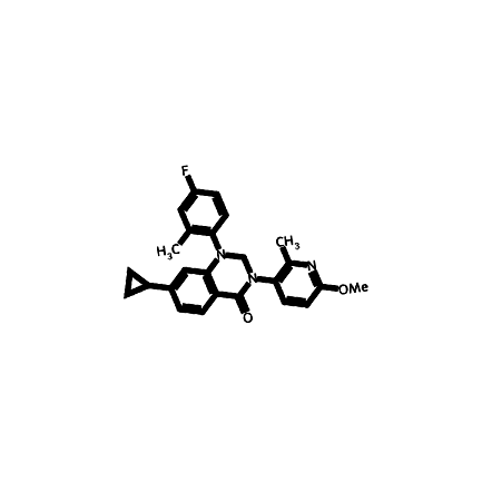 COc1ccc(N2CN(c3ccc(F)cc3C)c3cc(C4CC4)ccc3C2=O)c(C)n1